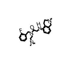 CN(C)CCN(Cc1ccccc1F)C(=O)CNc1cccc2c1CCN(C)C2